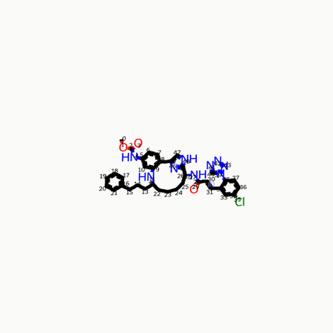 COC(=O)Nc1ccc2c(c1)NC(CCCc1ccccc1)CCCC[C@H](NC(=O)/C=C/c1cc(Cl)ccc1-n1cnnn1)c1nc-2c[nH]1